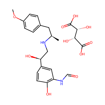 COc1ccc(C[C@@H](C)NC[C@H](O)c2ccc(O)c(NC=O)c2)cc1.O=C(O)[C@H](O)[C@@H](O)C(=O)O